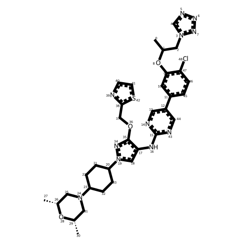 CC(Cn1cnnn1)Oc1cc(-c2cnc(Nc3cn(C4CCC(N5C[C@@H](C)O[C@@H](C)C5)CC4)nc3OCc3nccs3)nc2)ccc1Cl